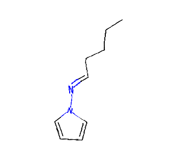 CCCCC=Nn1cccc1